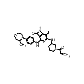 C=CC(=O)N1CCCC(Nc2nc(Nc3ccc(N4CCOCC4C)cc3)c3c(c2F)NC3=O)C1